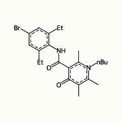 CCCCn1c(C)c(C)c(=O)c(C(=O)Nc2c(CC)cc(Br)cc2CC)c1C